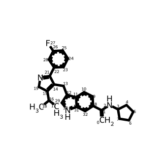 C=C(NC1CCCC1)c1ccc2c(CC3=C(C(C)C)CN=C3c3cccc(F)c3)c[nH]c2c1